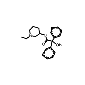 CCN1CCCC(OC(=O)C(O)(c2ccccc2)c2ccccc2)C1